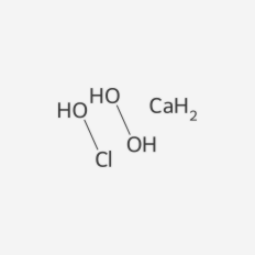 OCl.OO.[CaH2]